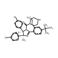 CCOc1cc(C(C)(C)C)ccc1C1=N[C@@](C)(c2ccc(Cl)cc2)[C@@](C)(c2ccc(Cl)cc2)N1C(=O)N1CCNCC1